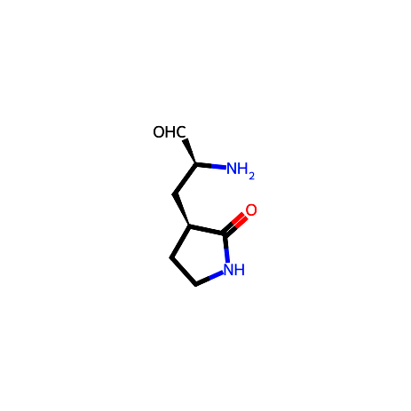 N[C@H](C=O)C[C@@H]1CCNC1=O